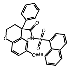 COc1ccc2c(c1)[C@@](C(=O)NS(=O)(=O)c1cccc3ccccc13)(c1ccccc1)CCO2